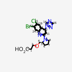 O=C(O)CCOC[C@@H]1CCCN1c1cc(-n2cncn2)c2cc(Cl)c(Br)cc2n1